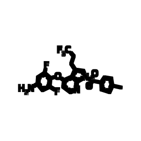 Cc1ccc(S(=O)(=O)n2cc(CCC(F)(F)F)c3c(Oc4c(F)cc(N)cc4F)ccnc32)cc1